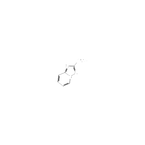 CSc1nc2ccccn2n1